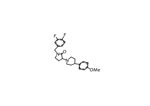 COc1ccc(C2CCN(C3CCN(Cc4ccc(F)c(F)c4)C3=O)CC2)cc1